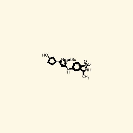 CC1NS(=O)(=O)c2ccc(Nc3cc([C@H]4CC[C@@H](O)C4)nn3C(C)(C)C)cc21